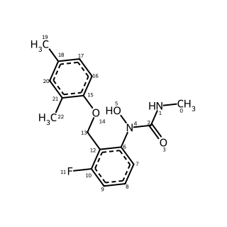 CNC(=O)N(O)c1cccc(F)c1COc1ccc(C)cc1C